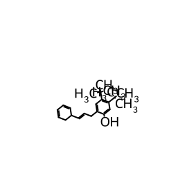 CC(C)(C)c1cc(O)c(CC=CC2C=CC=CC2)cc1C(C)(C)C